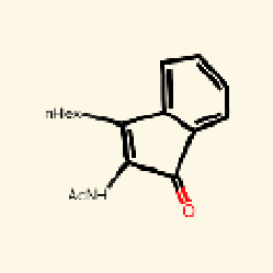 CCCCCCC1=C(NC(C)=O)C(=O)c2ccccc21